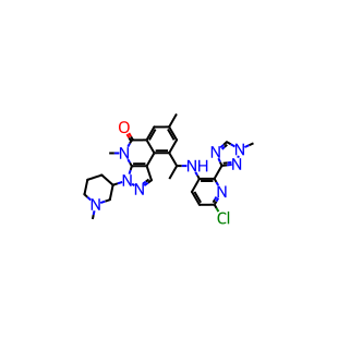 Cc1cc(C(C)Nc2ccc(Cl)nc2-c2ncn(C)n2)c2c(c1)c(=O)n(C)c1c2cnn1C1CCCN(C)C1